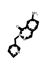 Nc1ccc2cnn(Cc3cccnc3)c(=O)c2c1